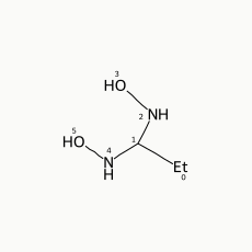 CCC(NO)NO